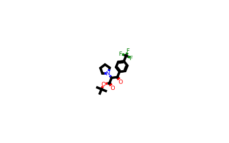 CC(C)(C)OC(=O)C(C(=O)c1ccc(C(F)(F)F)cc1)N1CCCC1